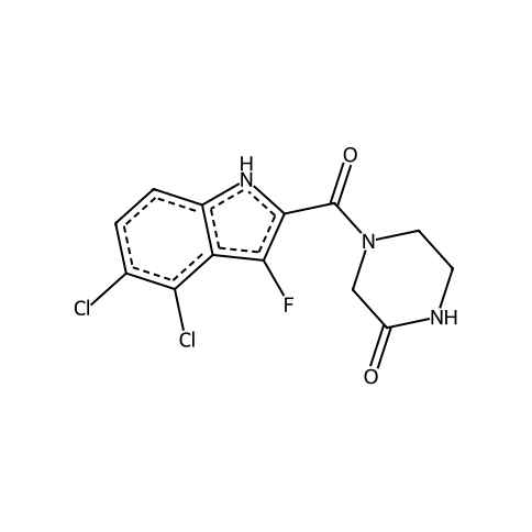 O=C1CN(C(=O)c2[nH]c3ccc(Cl)c(Cl)c3c2F)CCN1